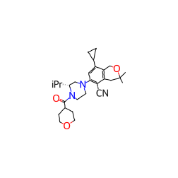 CC(C)[C@@H]1CN(c2cc(C3CC3)c3c(c2C#N)CC(C)(C)OC3)CCN1C(=O)C1CCOCC1